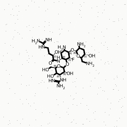 N=C(N)NCC[C@H](O)C(=O)N[C@@H]1CC(N)[C@@H](O[C@H]2OC(CN)[C@@H](O)CC2N)[C@H](F)C1OC1O[C@H](CO)C(O)[C@@H](NC(=N)N)[C@H]1O